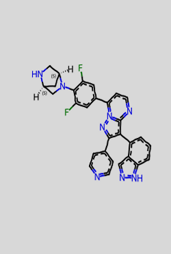 Fc1cc(-c2ccnc3c(-c4cccc5[nH]ncc45)c(-c4ccncc4)nn23)cc(F)c1N1C[C@@H]2C[C@H]1CN2